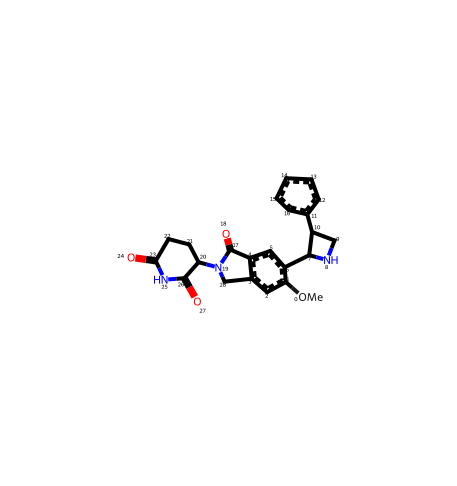 COc1cc2c(cc1C1NCC1c1ccccc1)C(=O)N(C1CCC(=O)NC1=O)C2